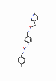 COc1ccc(CNC(=O)Nc2ccc(CNC(=O)Cc3ccc(C)nc3)cc2)cc1